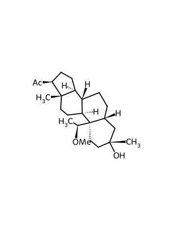 CO[C@@H](C)[C@]12CC[C@@](C)(O)C[C@H]1CC[C@H]1[C@@H]3CC[C@H](C(C)=O)[C@@]3(C)CC[C@@H]12